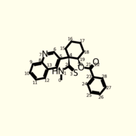 CNC(=S)[C@@]1(c2cnc3ccccc3c2)CCCC[C@H]1OC(=O)c1ccccc1